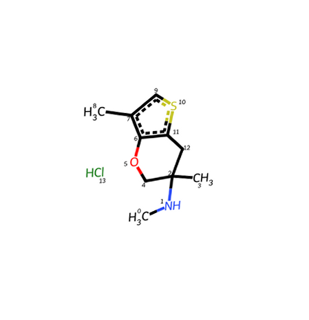 CNC1(C)COc2c(C)csc2C1.Cl